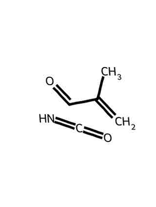 C=C(C)C=O.N=C=O